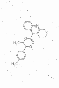 Cc1ccc(C(=O)C(C)OC(=O)c2c3c(nc4ccccc24)CCCC3)cc1